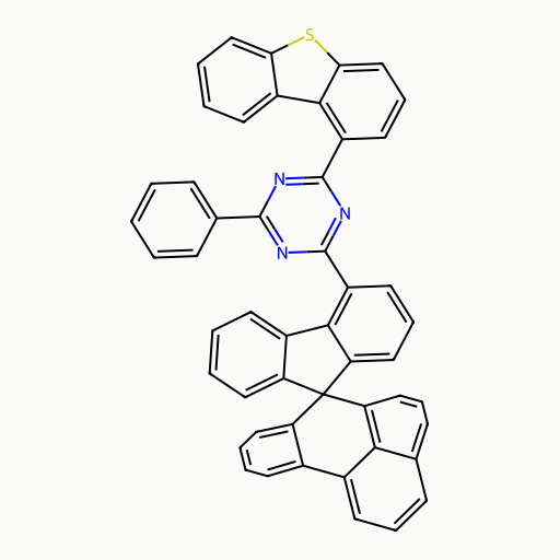 c1ccc(-c2nc(-c3cccc4c3-c3ccccc3C43c4ccccc4-c4cccc5cccc3c45)nc(-c3cccc4sc5ccccc5c34)n2)cc1